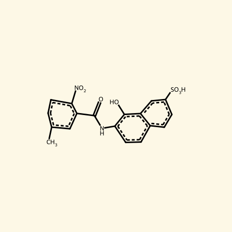 Cc1ccc([N+](=O)[O-])c(C(=O)Nc2ccc3ccc(S(=O)(=O)O)cc3c2O)c1